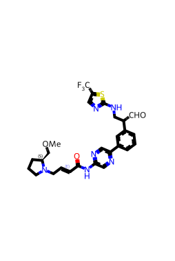 COC[C@@H]1CCCN1C/C=C/C(=O)Nc1cnc(-c2cccc(C(C=O)CNc3ncc(C(F)(F)F)s3)c2)cn1